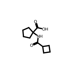 O=C(NC1(C(=O)O)CCCC1)C1CCC1